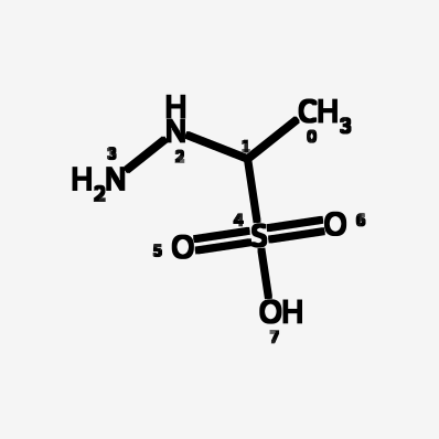 CC(NN)S(=O)(=O)O